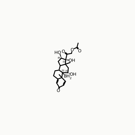 B[C@]12C(CCC3=CC(=O)C=CC31C)C1C[C@@H](O)[C@](O)(C(=O)COC(C)=O)C1(C)C[C@@H]2O